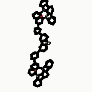 c1ccc(-n2c3ccccc3c3ccc4c5ccccc5n(-c5cccc(-c6cccc(-c7ccc8oc9ccc(-c%10cccc(-c%11cccc(-n%12c%13ccccc%13c%13ccc%14c%15ccccc%15n(-c%15ccccc%15)c%14c%13%12)c%11)c%10)cc9c8c7)c6)c5)c4c32)cc1